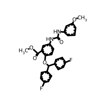 COC(=O)c1cc(NC(=O)Nc2cccc(OC)c2)ccc1OC(c1ccc(F)cc1)c1ccc(F)cc1